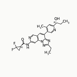 CCc1nc2c(-c3cnc([C@H](O)CC)cc3C)cc3cnc(NC(=O)[C@H]4CC4(F)F)cc3n2n1